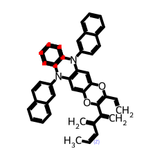 C=CC1=C(C(=C)C(=C)/C=C\C)Oc2cc(N(c3ccccc3)c3ccc4ccccc4c3)c(N(c3ccccc3)c3ccc4ccccc4c3)cc2O1